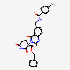 Cc1nc2ccc(CNC(=O)c3ccc(C(F)(F)F)cc3)cc2c(=O)n1[C@]1(C(=O)OCc2ccccc2)CCC(=O)NC1=O